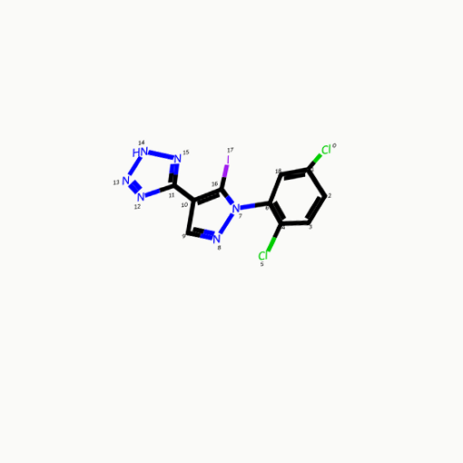 Clc1ccc(Cl)c(-n2ncc(-c3nn[nH]n3)c2I)c1